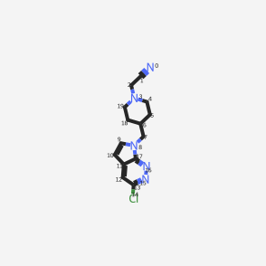 N#CCN1CCC(Cn2ccc3cc(Cl)nnc32)CC1